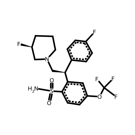 NS(=O)(=O)c1ccc(OC(F)(F)F)cc1[C@@H](CN1CCC[C@H](F)C1)c1ccc(F)cc1